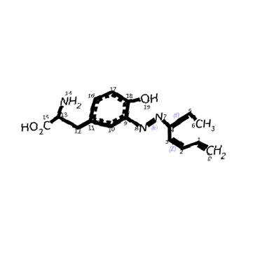 C=C\C=C/C(=C\C)/N=N/c1cc(CC(N)C(=O)O)ccc1O